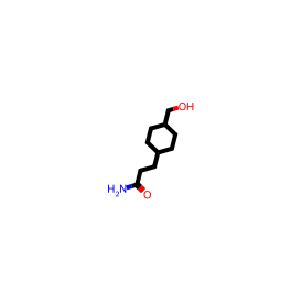 NC(=O)CCC1CCC(CO)CC1